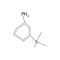 CS(C)(C)c1cccc(P)c1